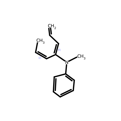 C=C/C=C(\C=C/C)N(C)c1ccccc1